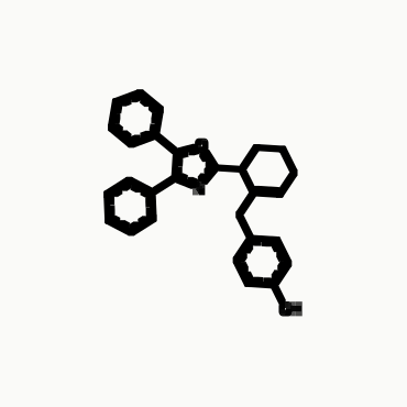 Oc1ccc(CC2=CCCCC2c2nc(-c3ccccc3)c(-c3ccccc3)o2)cc1